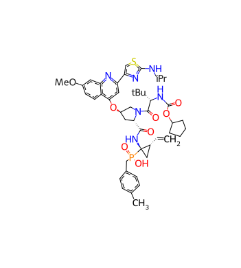 C=C[C@@H]1C[C@]1(NC(=O)[C@@H]1C[C@@H](Oc2cc(-c3csc(NC(C)C)n3)nc3cc(OC)ccc23)CN1C(=O)[C@@H](NC(=O)OC1CCCC1)C(C)(C)C)P(=O)(O)Cc1ccc(C)cc1